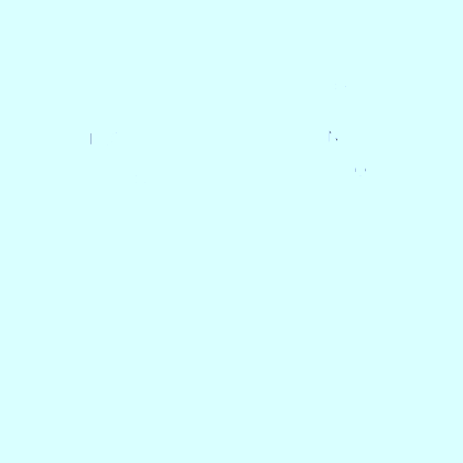 COc1ccc([N+](=O)[O-])cc1C=Cc1ccccc1